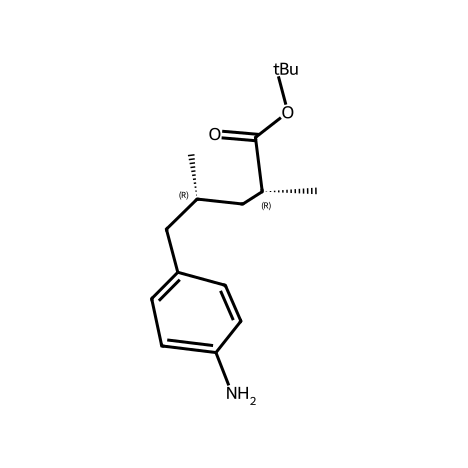 C[C@@H](Cc1ccc(N)cc1)C[C@@H](C)C(=O)OC(C)(C)C